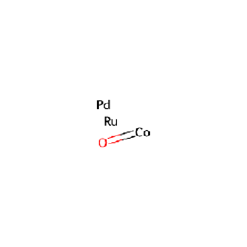 [O]=[Co].[Pd].[Ru]